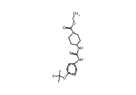 CCOC(=O)N1CCC(NC(=S)Nc2ccc(OC(F)(F)F)cc2)CC1